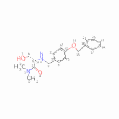 CN(C)C(=O)[C@H](CO)NCc1ccc(OCc2ccccc2)cc1